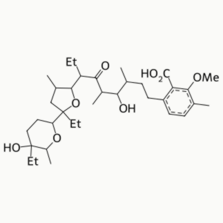 CCC(C(=O)C(C)C(O)C(C)CCc1ccc(C)c(OC)c1C(=O)O)C1OC(CC)(C2CCC(O)(CC)C(C)O2)CC1C